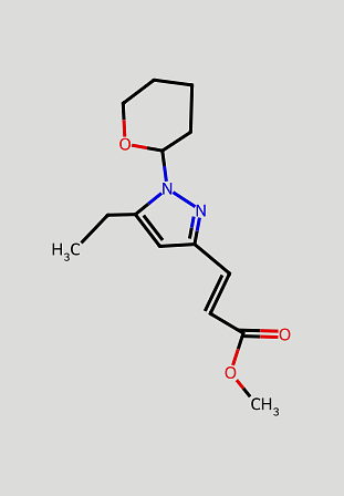 CCc1cc(/C=C/C(=O)OC)nn1C1CCCCO1